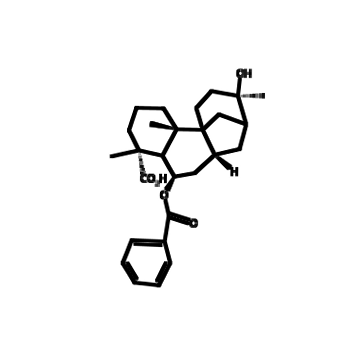 C[C@@]1(C(=O)O)CCC[C@@]2(C)C1[C@H](OC(=O)c1ccccc1)C[C@H]1CC3CC12CC[C@@]3(C)O